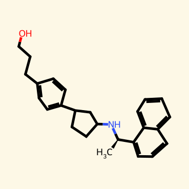 C[C@@H](NC1CCC(c2ccc(CCCO)cc2)C1)c1cccc2ccccc12